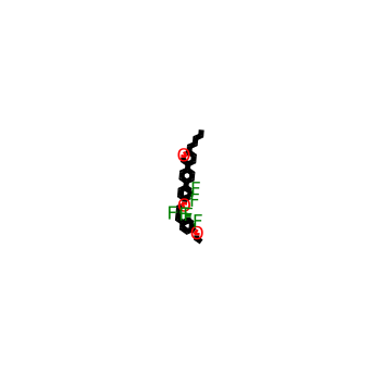 CCCCCC1CCC(C2CCC(c3ccc(OCC(F)(F)Cc4ccc(OCC)c(F)c4F)c(F)c3F)CC2)CO1